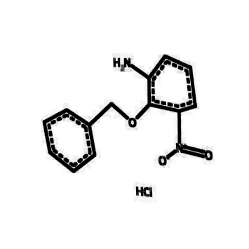 Cl.Nc1cccc([N+](=O)[O-])c1OCc1ccccc1